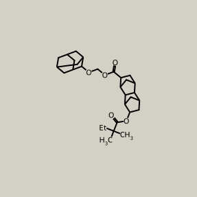 CCC(C)(C)C(=O)OC1CC2CC1C1C3CC(CC3C(=O)OCOC3C4CC5CC(C4)CC3C5)C21